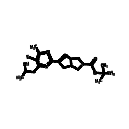 Cc1nc(C2=CC3CN(C(=O)OC(C)(C)C)CC3C2)nc(CC(C)O)c1F